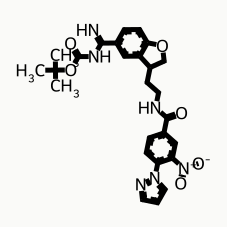 CC(C)(C)OC(=O)NC(=N)c1ccc2c(c1)C(CCNC(=O)c1ccc(-n3cccn3)c([N+](=O)[O-])c1)CO2